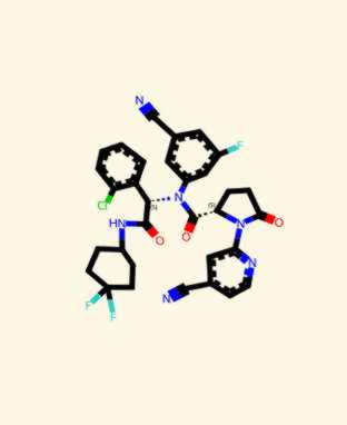 N#Cc1cc(F)cc(N(C(=O)[C@@H]2CCC(=O)N2c2cc(C#N)ccn2)[C@H](C(=O)NC2CCC(F)(F)CC2)c2ccccc2Cl)c1